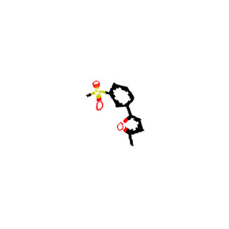 Cc1ccc(-c2cccc(S(C)(=O)=O)c2)o1